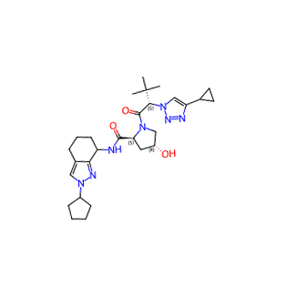 CC(C)(C)[C@@H](C(=O)N1C[C@H](O)C[C@H]1C(=O)NC1CCCc2cn(C3CCCC3)nc21)n1cc(C2CC2)nn1